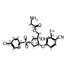 N#Cc1ccc(O[C@H]2CN(S(=O)(=O)c3ccc(Cl)cn3)C[C@@]2(O)COC(=O)CN)cc1F